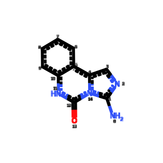 Nc1ncc2c3ccccc3[nH]c(=O)n12